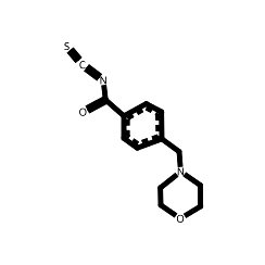 O=C(N=C=S)c1ccc(CN2CCOCC2)cc1